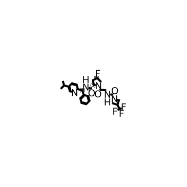 CC(C)c1ccc([C@@H](NC(=O)[C@@H]2C[C@@H](F)CN2C(=O)CNC(=O)N2CC(C(F)(F)F)C2)c2ccccc2)nc1